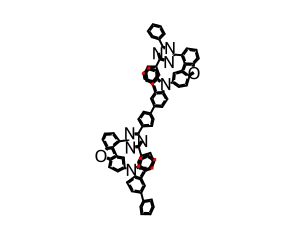 c1ccc(-c2ccc3c(c2)c2ccccc2n3-c2ccc3oc4cccc(-c5nc(-c6ccccc6)nc(-c6ccc(-c7ccc8c(c7)c7ccccc7n8-c7ccc8oc9cccc(-c%10nc(-c%11ccccc%11)nc(-c%11ccccc%11)n%10)c9c8c7)cc6)n5)c4c3c2)cc1